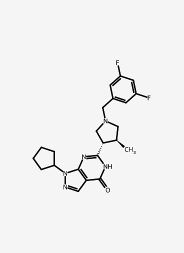 C[C@@H]1CN(Cc2cc(F)cc(F)c2)C[C@H]1c1nc2c(cnn2C2CCCC2)c(=O)[nH]1